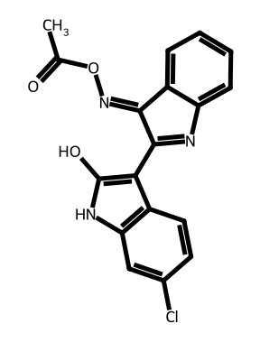 CC(=O)O/N=C1/C(c2c(O)[nH]c3cc(Cl)ccc23)=Nc2ccccc21